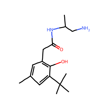 Cc1cc(CC(=O)NC(C)CN)c(O)c(C(C)(C)C)c1